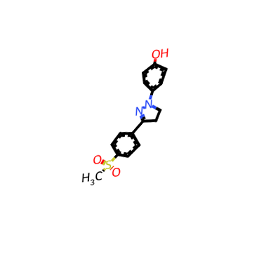 CS(=O)(=O)c1ccc(C2=NN(c3ccc(O)cc3)CC2)cc1